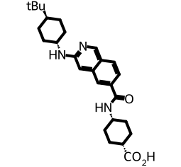 CC(C)(C)[C@H]1CC[C@H](Nc2cc3cc(C(=O)N[C@H]4CC[C@@H](C(=O)O)CC4)ccc3cn2)CC1